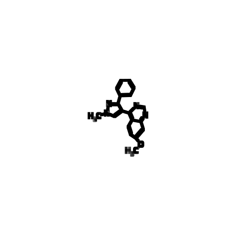 COc1ccc2c(-c3cn(C)nc3-c3ccccc3)ncnc2c1